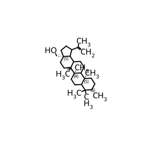 C=C(C)C1CC[C@]2(CO)CC[C@]3(C)C(CCC4[C@@]5(C)CC[C@H](C)C(C)(C)C5CC[C@]43C)C12